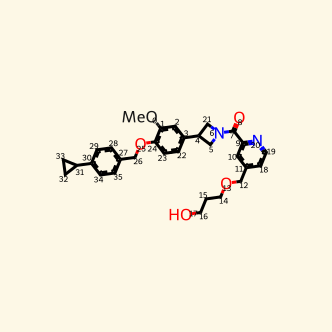 COc1cc(C2CN(C(=O)c3cc(COCCCO)ccn3)C2)ccc1OCc1ccc(C2CC2)cc1